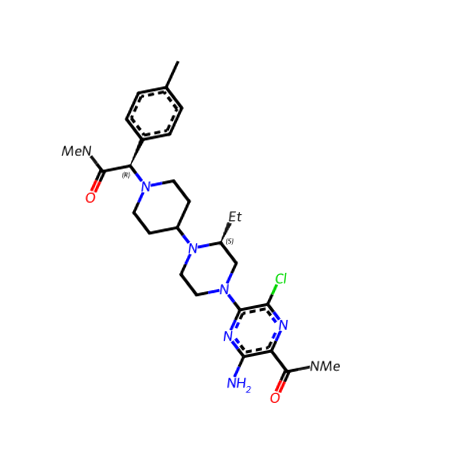 CC[C@H]1CN(c2nc(N)c(C(=O)NC)nc2Cl)CCN1C1CCN([C@@H](C(=O)NC)c2ccc(C)cc2)CC1